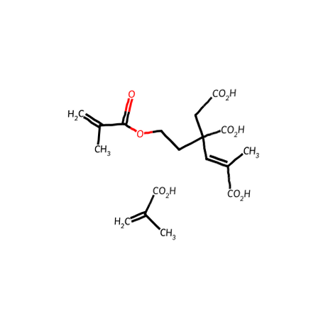 C=C(C)C(=O)O.C=C(C)C(=O)OCCC(C=C(C)C(=O)O)(CC(=O)O)C(=O)O